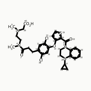 CN(CCN(C)C(=O)CCc1cc(Cl)c(Oc2ccsc2C(=O)N2CCN(C3CC3)c3ccccc32)cc1Cl)CC(=O)O